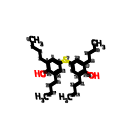 CCCCc1cc(Sc2cc(CCCC)c(O)c(CCCC)c2)cc(CCCC)c1O